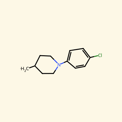 [CH2]C1CCN(c2ccc(Cl)cc2)CC1